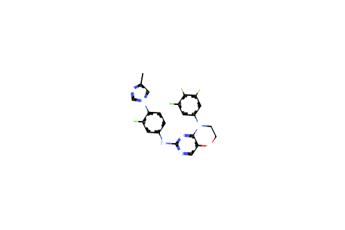 Cc1cn(-c2ccc(Nc3ncc4c(n3)N(c3cc(F)c(F)c(F)c3)CCO4)cc2F)cn1